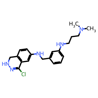 CN(C)CCCNc1cccc(CNc2ccc3c(c2)C(Cl)=NNC3)c1